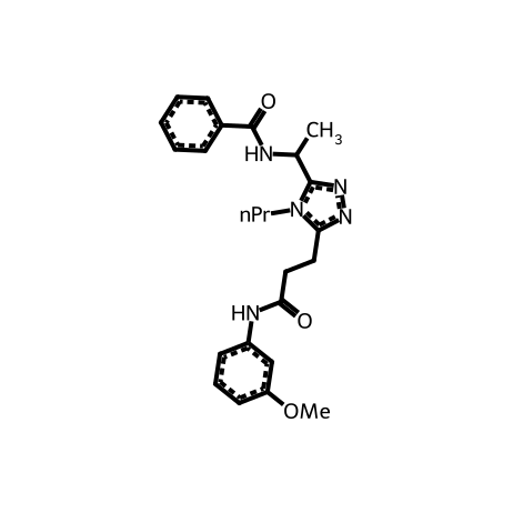 CCCn1c(CCC(=O)Nc2cccc(OC)c2)nnc1C(C)NC(=O)c1ccccc1